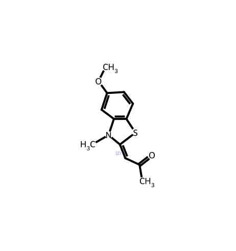 COc1ccc2c(c1)N(C)/C(=C/C(C)=O)S2